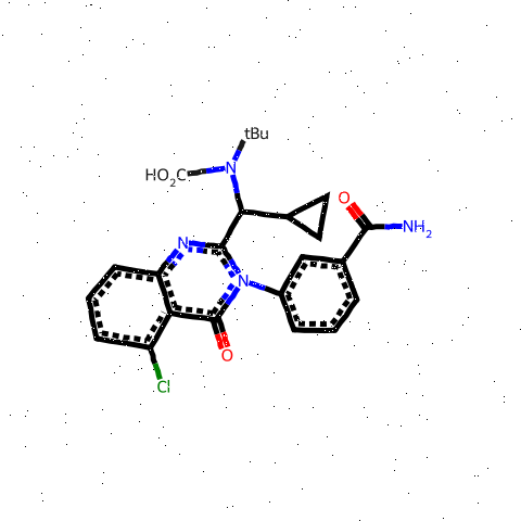 CC(C)(C)N(C(=O)O)C(c1nc2cccc(Cl)c2c(=O)n1-c1cccc(C(N)=O)c1)C1CC1